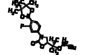 CC(C)(C)[SiH2]OC(C)(C)C1CN(c2ccc(B3OC(C)(C)C(C)(C)O3)c(F)c2)C(=O)O1